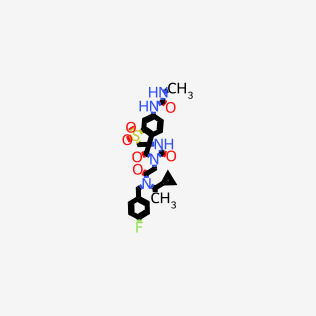 CNC(=O)Nc1ccc2c(c1)S(=O)(=O)CC21NC(=O)N(CC(=O)N(Cc2ccc(F)cc2)C(C)C2CC2)C1=O